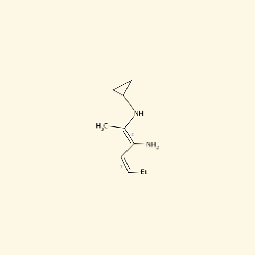 CC/C=C\C(N)=C(/C)NC1CC1